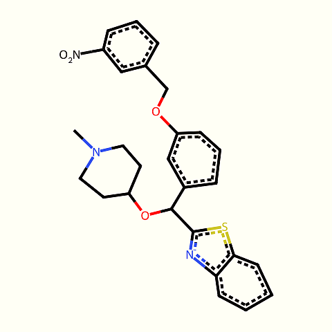 CN1CCC(OC(c2cccc(OCc3cccc([N+](=O)[O-])c3)c2)c2nc3ccccc3s2)CC1